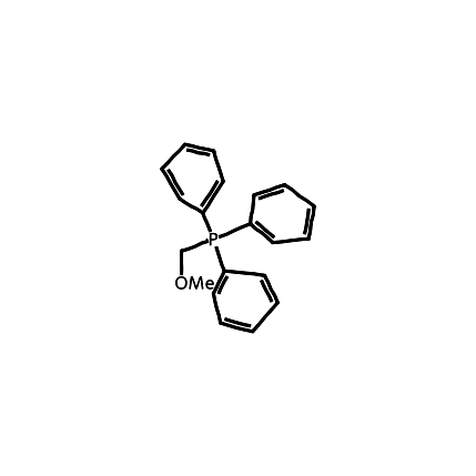 COC[P](c1ccccc1)(c1ccccc1)c1ccccc1